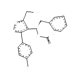 CCc1noc(-c2ccc(Br)cc2)c1[C@@H](Cc1ccccc1)NC(=O)O